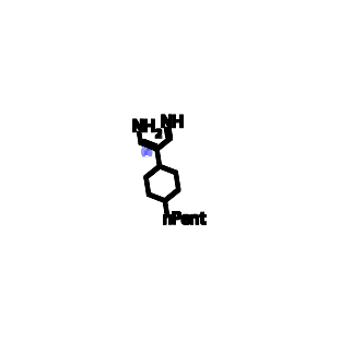 CCCCCC1CCC(/C(C=N)=C/N)CC1